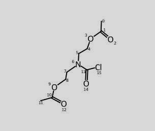 CC(=O)OCCN(CCOC(C)=O)C(=O)Cl